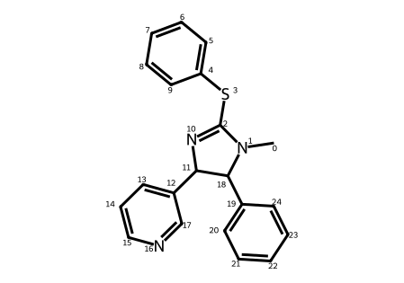 CN1C(Sc2ccccc2)=NC(c2cccnc2)C1c1ccccc1